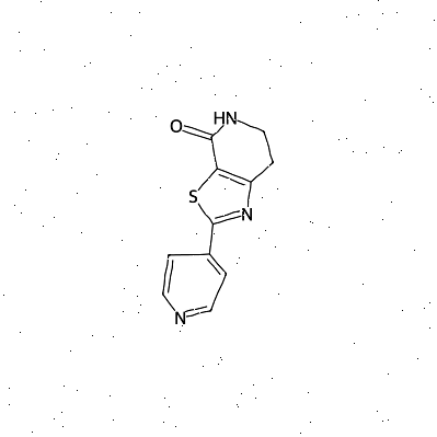 O=C1NCCc2nc(-c3ccncc3)sc21